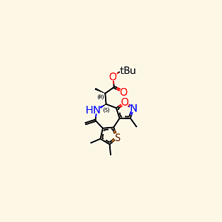 C=C1N[C@@H]([C@@H](C)C(=O)OC(C)(C)C)c2onc(C)c2-c2sc(C)c(C)c21